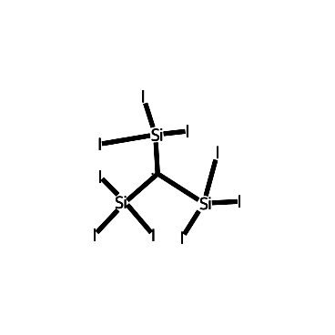 I[Si](I)(I)[C]([Si](I)(I)I)[Si](I)(I)I